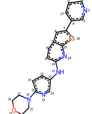 c1cncc(-c2cc3ccc(Nc4ccc(N5CCOCC5)nc4)nc3s2)c1